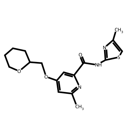 Cc1cc(OCC2CCCCO2)cc(C(=O)Nc2nc(C)cs2)n1